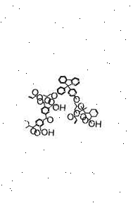 C=CC(=O)OCC(COc1ccc(C2(c3ccc(OCC(COC(=O)C=C)OC(C)(C)C(=O)C4CC=CCC4C(=O)O)cc3)c3ccccc3-c3ccccc32)cc1)OC(=O)c1ccc(C(=O)c2ccc(C(=O)C(C)CC)c(C(=O)O)c2)cc1C(=O)O